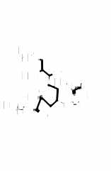 CC(=O)N[C@@H]1[C@@H](O)CC(O)(C(=O)O)O[C@H]1C(O)C(O)CO.O.O